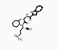 C#C[C@H](CC[S+](C)[O-])NC(=O)[C@H](CC1CCCCC1)NC(=O)c1cc2ccccc2[nH]1